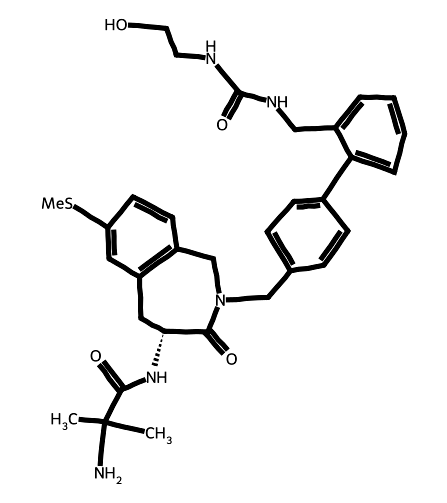 CSc1ccc2c(c1)C[C@@H](NC(=O)C(C)(C)N)C(=O)N(Cc1ccc(-c3ccccc3CNC(=O)NCCO)cc1)C2